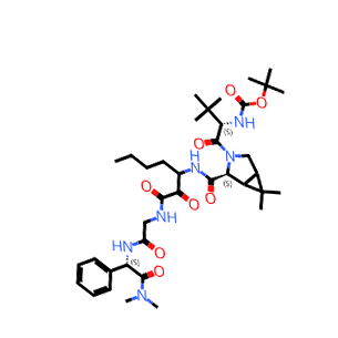 CCCCC(NC(=O)[C@@H]1C2C(CN1C(=O)[C@@H](NC(=O)OC(C)(C)C)C(C)(C)C)C2(C)C)C(=O)C(=O)NCC(=O)N[C@H](C(=O)N(C)C)c1ccccc1